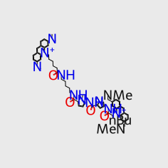 CCCCC(C(=O)Nc1cc(C(=O)Nc2ccc(C(=O)NCCCCCNC(=O)CCCCC[n+]3c4cc(N(C)C)ccc4cc4ccc(N(C)C)cc43)n2C)n(C)c1)[n+]1c2cc(CNC)ccc2cc2ccc(CNC)cc21